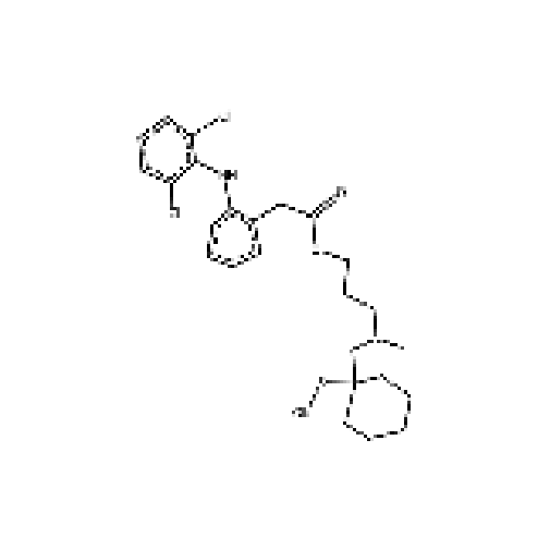 CN(CCCOC(=O)Cc1ccccc1Nc1c(Cl)cccc1Cl)CC1(SN=O)CCCCC1